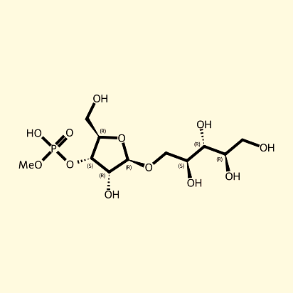 COP(=O)(O)O[C@H]1[C@@H](O)[C@H](OC[C@H](O)[C@H](O)[C@H](O)CO)O[C@@H]1CO